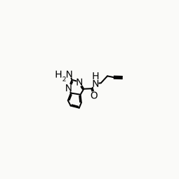 C#CCCNC(=O)c1nc(N)nc2ccccc12